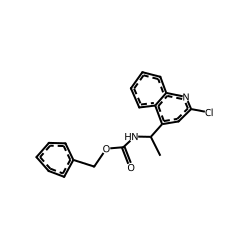 CC(NC(=O)OCc1ccccc1)c1cc(Cl)nc2ccccc12